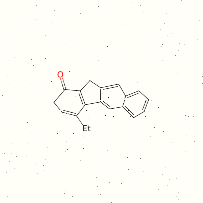 CCC1=CCC(=O)C2=C1c1cc3ccccc3cc1C2